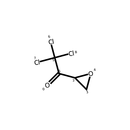 O=C(C1CO1)C(Cl)(Cl)Cl